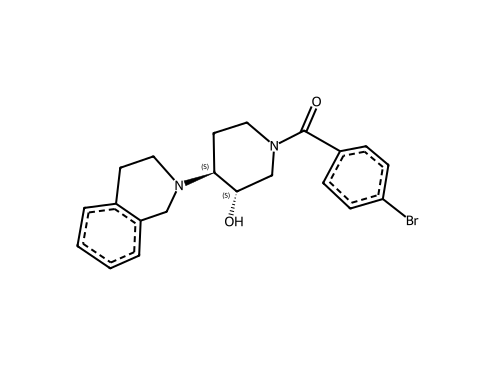 O=C(c1ccc(Br)cc1)N1CC[C@H](N2CCc3ccccc3C2)[C@@H](O)C1